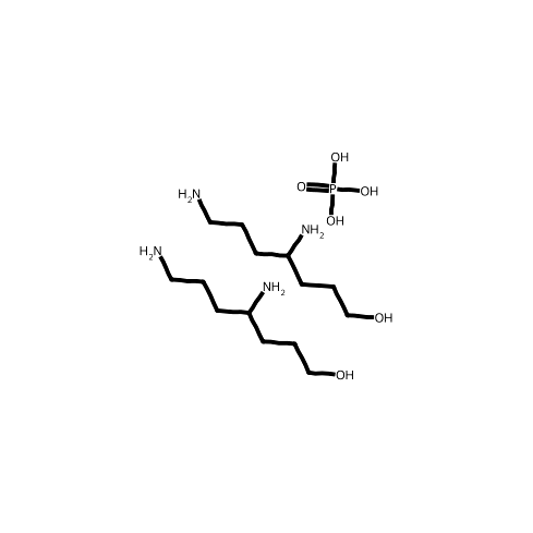 NCCCC(N)CCCO.NCCCC(N)CCCO.O=P(O)(O)O